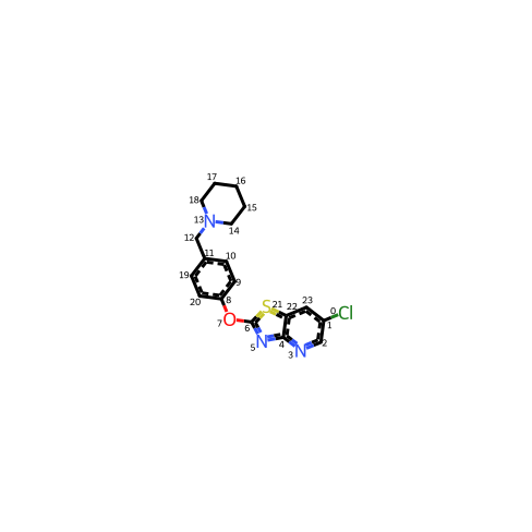 Clc1cnc2nc(Oc3ccc(CN4CCCCC4)cc3)sc2c1